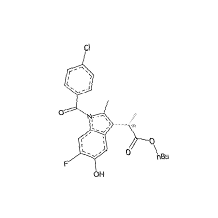 CCCCOC(=O)[C@@H](C)c1c(C)n(C(=O)c2ccc(Cl)cc2)c2cc(F)c(O)cc12